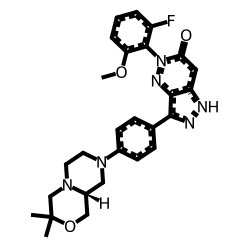 COc1cccc(F)c1-n1nc2c(-c3ccc(N4CCN5CC(C)(C)OC[C@H]5C4)cc3)n[nH]c2cc1=O